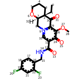 CC[C@]12CCCO[C@@H]1Cn1cc(C(=O)NCc3ccc(F)cc3F)c(=O)c(OC)c1C2=O